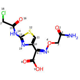 NC(=O)CO/N=C(/C(=O)O)c1csc(NC(=O)CCl)n1